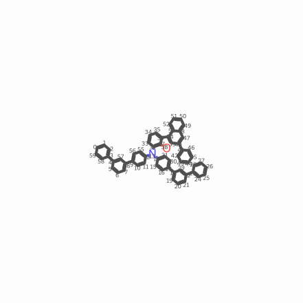 c1ccc(-c2cccc(-c3ccc(N(c4ccc(-c5cccc(-c6ccccc6)c5)cc4)c4cccc5c4oc4c(-c6ccccc6)cc6ccccc6c45)cc3)c2)cc1